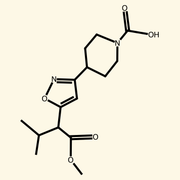 COC(=O)C(c1cc(C2CCN(C(=O)O)CC2)no1)C(C)C